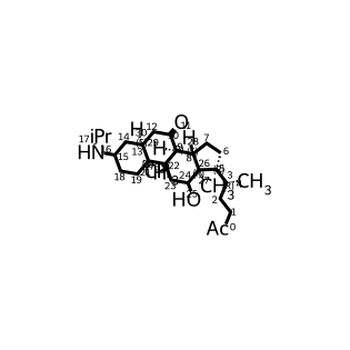 CC(=O)CC[C@@H](C)[C@H]1CC[C@H]2[C@@H]3C(=O)C[C@@H]4CC(NC(C)C)CC[C@]4(C)[C@H]3CC(O)[C@]12C